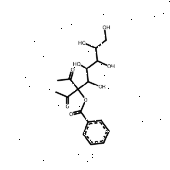 CC(=O)C(OC(=O)c1ccccc1)(C(C)=O)C(O)C(O)C(O)C(O)CO